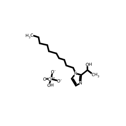 CCCCCCCCCCn1ccnc1C(C)O.[O-][Cl+3]([O-])([O-])O